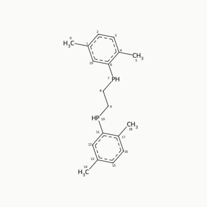 Cc1ccc(C)c(PCCPc2cc(C)ccc2C)c1